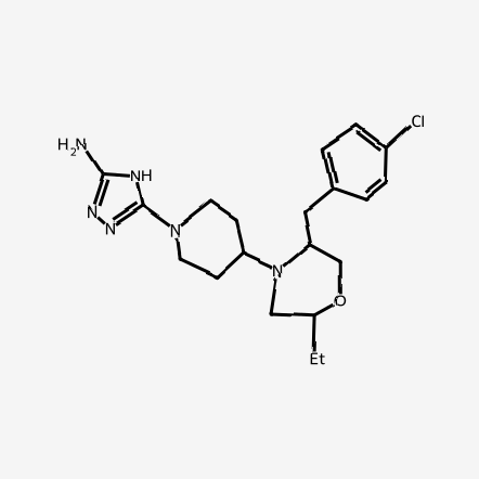 CCC1CN(C2CCN(c3nnc(N)[nH]3)CC2)C(Cc2ccc(Cl)cc2)CO1